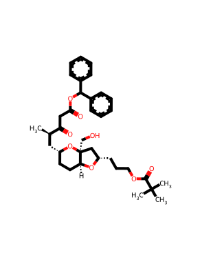 C[C@H](C[C@H]1CC[C@@H]2O[C@@H](CCCOC(=O)C(C)(C)C)C[C@]2(CO)O1)C(=O)CC(=O)OC(c1ccccc1)c1ccccc1